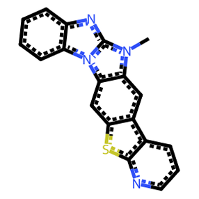 Cn1c2cc3c(cc2n2c4ccccc4nc12)sc1ncccc13